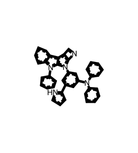 C1=Nc2c1c1c3ccccc3n(-c3ccccc3)c1n2-c1cc(-c2ccc[nH]2)cc(N(c2ccccc2)c2ccccc2)c1